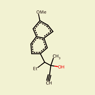 C#CC(C)(O)C(CC)c1ccc2cc(OC)ccc2c1